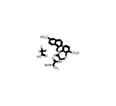 CN[C@@H](C)C(=O)N[C@H]1COc2c(C(=O)O)cccc2N(Cc2c(OC)ccc3cc(C(=O)O)ccc23)C1=O.O=C(O)C(F)(F)F